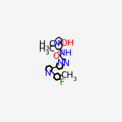 Cc1cc(-c2ncccc2-c2ccc3ncc(C(=O)N[C@H]4CC(C)(C)N5CCC[C@@]5(O)C4)n3c2)ccc1F